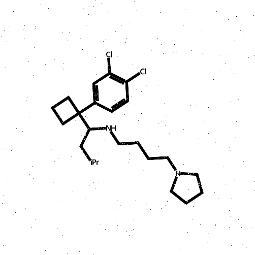 CC(C)CC(NCCCCN1CCCC1)C1(c2ccc(Cl)c(Cl)c2)CCC1